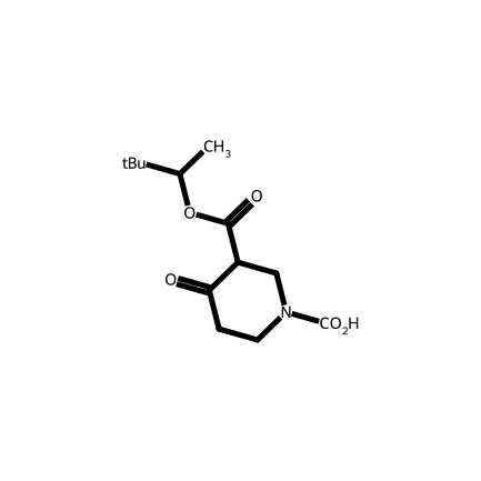 CC(OC(=O)C1CN(C(=O)O)CCC1=O)C(C)(C)C